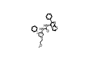 COCCN1C[C@H](NC(=O)Nc2c(-c3ccccc3)nc3sccn23)[C@@H](c2ccccc2)C1